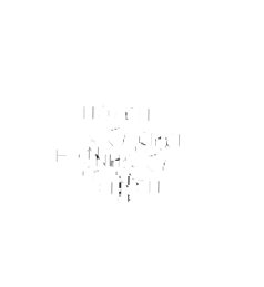 COc1cccc(C(=S)N(C)NC(=O)C(C)C(=O)NN(C)C(=S)c2cccc(OC)c2OC)c1CO